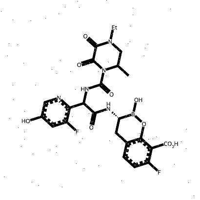 CCN1CC(C)N(C(=O)NC(C(=O)N[C@H]2Cc3ccc(F)c(C(=O)O)c3OB2O)c2ncc(O)cc2F)C(=O)C1=O